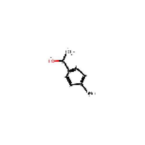 CCCCCCc1ccc(C(O)C(=O)OCC)cc1